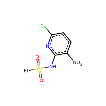 CCS(=O)(=O)Nc1nc(Cl)ccc1[N+](=O)[O-]